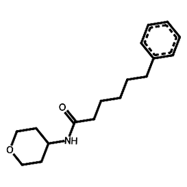 O=C(CCCCCc1ccccc1)NC1CCOCC1